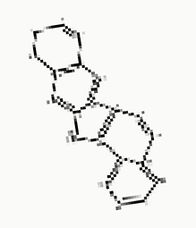 C1=Cc2cc3c(cc2CC1)[nH]c1c2ccccc2ccc31